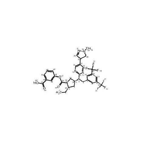 CC[C@@H]1C[C@H](N(Cc2cc(C(F)(F)F)cc(C(F)(F)F)c2)c2ncc(C3C=NN(C)C3)cn2)CN1C(=O)Oc1cccc(C(=O)O)c1